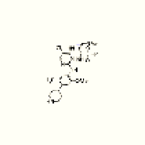 CN/C=C(/Nc1nc(Nc2cc(C)c(C3CCNCC3)cc2OC)ncc1Cl)C(=N)S(=O)(=O)C(C)C